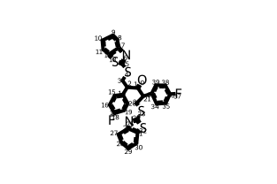 O=C(C(CSc1nc2ccccc2s1)c1ccc(F)cc1)C(CSc1nc2ccccc2s1)c1ccc(F)cc1